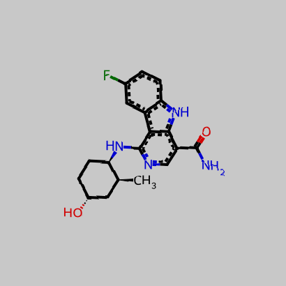 C[C@H]1C[C@H](O)CC[C@H]1Nc1ncc(C(N)=O)c2[nH]c3ccc(F)cc3c12